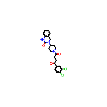 O=C(CCC(=O)N1CCC(N2Cc3ccccc3NC2=O)CC1)c1ccc(Cl)c(Cl)c1